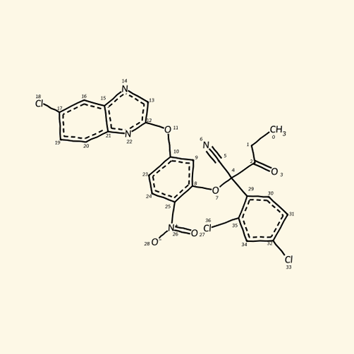 CCC(=O)C(C#N)(Oc1cc(Oc2cnc3cc(Cl)ccc3n2)ccc1[N+](=O)[O-])c1ccc(Cl)cc1Cl